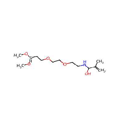 C=C(C)C(O)NCCOCCOCC[SiH](OC)OC